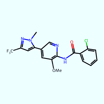 COc1cc(-c2cc(C(F)(F)F)nn2C)cnc1NC(=O)c1ccccc1Cl